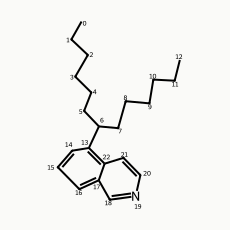 CCCCCCC(CCCCCC)c1cccc2cnccc12